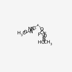 COCc1cnc(N2CCC([C@H]3C[C@H]3CCOc3cc(F)c(CC(=O)N4CC(C)(O)C4)c(F)c3)CC2)nc1